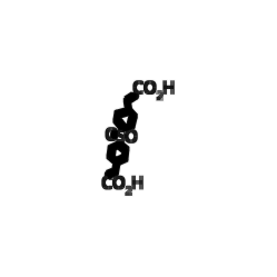 O=C(O)C=Cc1ccc(S(=O)(=O)c2ccc(C=CC(=O)O)cc2)cc1